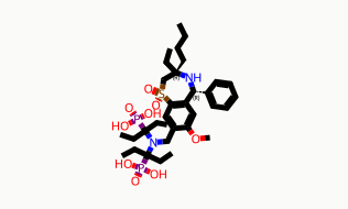 CCCC[C@]1(CC)CS(=O)(=O)c2cc(CN(C(CC)(CC)P(=O)(O)O)C(CC)(CC)P(=O)(O)O)c(OC)cc2[C@@H](c2ccccc2)N1